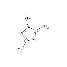 CCCCn1nc(C(C)(C)C)cc1N